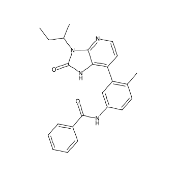 CCC(C)n1c(=O)[nH]c2c(-c3cc(NC(=O)c4ccccc4)ccc3C)ccnc21